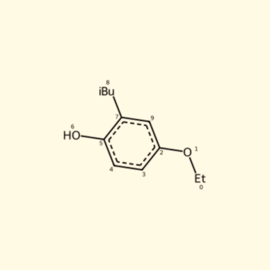 CCOc1ccc(O)c(C(C)CC)c1